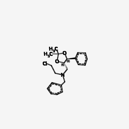 CC1(C)O[C@@H](CN(CCCl)Cc2ccccc2)[C@H](c2ccccc2)O1